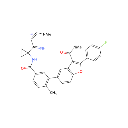 CN/C=C\C(=N)C1(NC(=O)c2ccc(C)c(-c3ccc4oc(-c5ccc(F)cc5)c(C(=O)NC)c4c3)c2)CC1